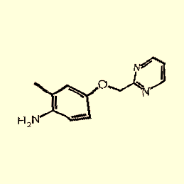 Cc1cc(OCc2ncccn2)ccc1N